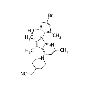 Cc1cc(N2CCC(CC#N)CC2)c2c(C)c(C)n(-c3c(C)cc(Br)cc3C)c2n1